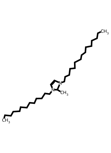 CCCCCCCCCCCCCCCN1C=CN(CCCCCCCCCCCCC)C1C